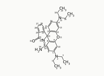 CCN(CC)c1ccc2c(c1)Oc1cc(N(CC)CC)ccc1C21c2ccccc2C(=O)N1SN